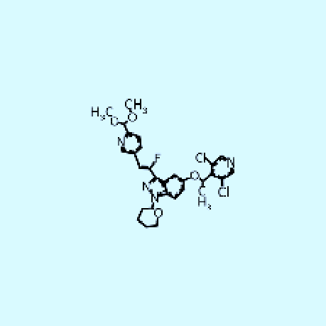 COC(OC)c1ccc(C=C(F)c2nn(C3CCCCO3)c3ccc(OC(C)c4c(Cl)cncc4Cl)cc23)cn1